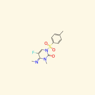 C/N=c1\c(F)cn(S(=O)(=O)c2ccc(C)cc2)c(=O)n1C